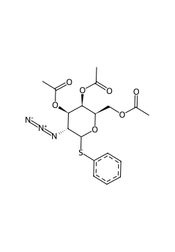 CC(=O)OC[C@H]1OC(Sc2ccccc2)[C@H](N=[N+]=[N-])[C@@H](OC(C)=O)[C@H]1OC(C)=O